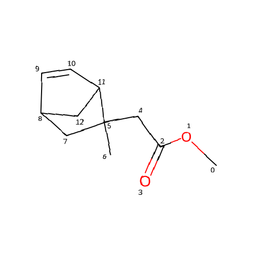 COC(=O)CC1(C)CC2C=CC1C2